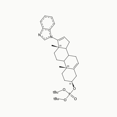 CC(C)(C)OP(=O)(O[C@H]1CC[C@@]2(C)C(=CCC3C2CC[C@]2(C)C(n4cnc5ccccc54)=CCC32)C1)OC(C)(C)C